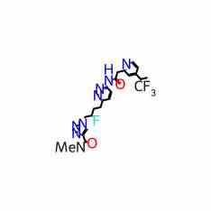 CNC(=O)c1cn(C[C@H](F)CCc2ccc(NC(=O)Cc3cc(C(C)C(F)(F)F)ccn3)nn2)nn1